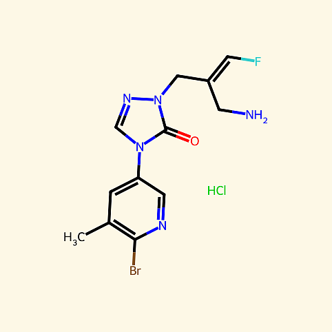 Cc1cc(-n2cnn(C/C(=C/F)CN)c2=O)cnc1Br.Cl